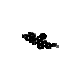 C[C@H](Nc1ncnc2[nH]ccc(=O)c12)c1c(Cl)c2cccc(-c3cnc(C(F)(F)F)cn3)c2c(=O)n1-c1ccccc1